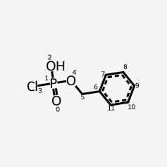 O=P(O)(Cl)OCc1ccccc1